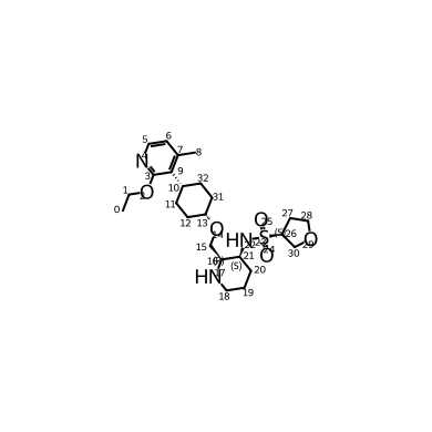 CCOc1nccc(C)c1[C@H]1CC[C@@H](OC[C@@H]2NCCC[C@@H]2NS(=O)(=O)[C@H]2CCOC2)CC1